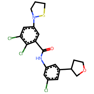 O=C(Nc1cc(Cl)cc(C2CCOC2)c1)c1cc(N2CCCS2)cc(Cl)c1Cl